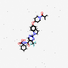 CC(C)C(=O)N1CCC(Oc2ccc3c(c2)CCN3c2ncc(C(=O)NC3(C(=O)O)CCCCC3)c(C(F)(F)F)n2)CC1